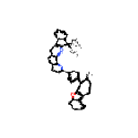 CC1C=Cc2c(oc3ccccc23)C1c1ccc(-c2ccc3ccc4cc5c(nc4c3n2)C(C)(C)c2ccccc2-5)cc1